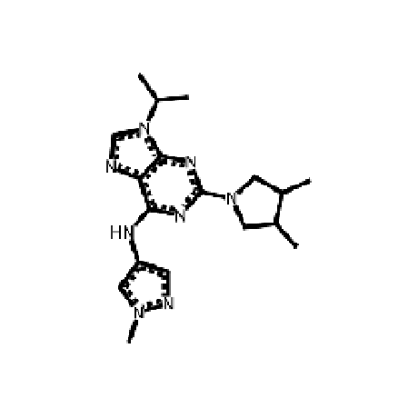 CC1CN(c2nc(Nc3cnn(C)c3)c3ncn(C(C)C)c3n2)CC1C